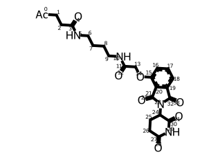 CC(=O)CCC(=O)NCCCCNC(=O)COc1cccc2c1C(=O)N(C1CCC(=O)NC1=O)C2=O